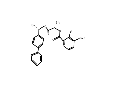 COc1ccnc(C(=O)N[C@@H](C)C(=O)O[C@@H](C)c2ccc(-c3ccccc3)cc2)c1O